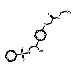 CCOC(=O)COc1ccc(C(O)CNS(=O)(=O)c2ccccc2)cc1